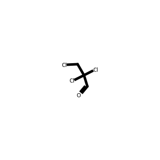 O=CC(Cl)(Cl)CCl